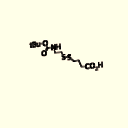 CC(C)(C)OC(=O)NCCSSCCCC(=O)O